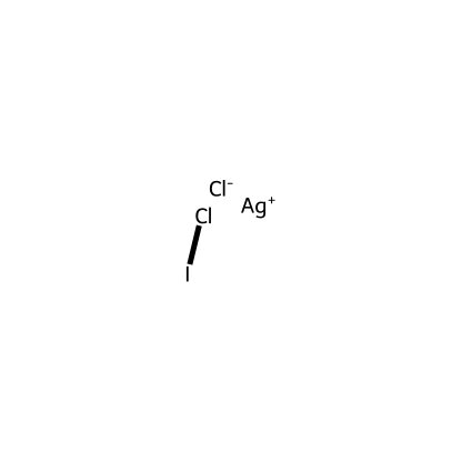 ClI.[Ag+].[Cl-]